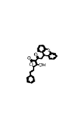 O=C(CC1c2ccccc2Sc2ccccc21)C1=C(O)C(CCc2ccccc2)OC1=O